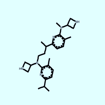 Cc1ccc(C(C)CCN(c2nc(C(C)C)ccc2C)C2CNC2)nc1N(C)C1CNC1